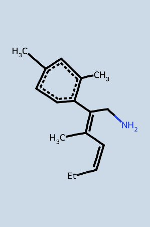 CC/C=C\C(C)=C(/CN)c1ccc(C)cc1C